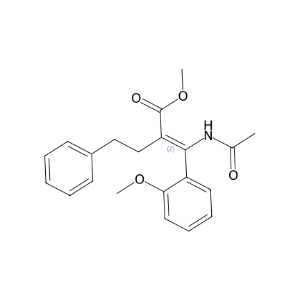 COC(=O)/C(CCc1ccccc1)=C(\NC(C)=O)c1ccccc1OC